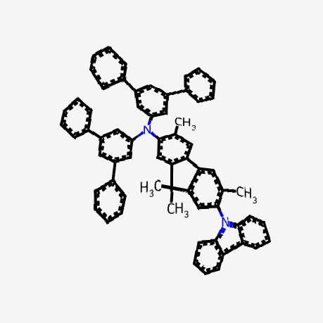 Cc1cc2c(cc1N(c1cc(-c3ccccc3)cc(-c3ccccc3)c1)c1cc(-c3ccccc3)cc(-c3ccccc3)c1)C(C)(C)c1cc(-n3c4ccccc4c4ccccc43)c(C)cc1-2